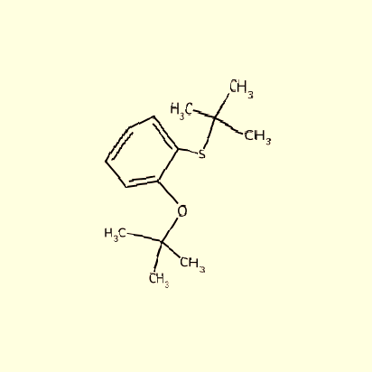 CC(C)(C)Oc1ccccc1SC(C)(C)C